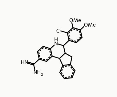 COc1ccc(C2Nc3ccc(C(=N)N)cc3C3c4ccccc4CC23)c(Cl)c1OC